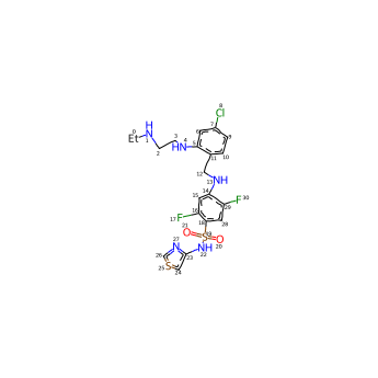 CCNCCNc1cc(Cl)ccc1CNc1cc(F)c(S(=O)(=O)Nc2cscn2)cc1F